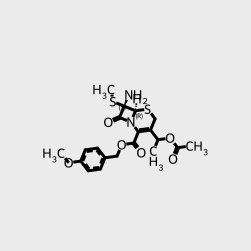 COc1ccc(COC(=O)C2=C(C(C)OC(C)=O)CS[C@H]3N2C(=O)[C@]3(N)SC)cc1